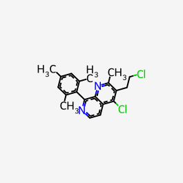 Cc1cc(C)c(-c2nccc3c(Cl)c(CCCl)c(C)nc23)c(C)c1